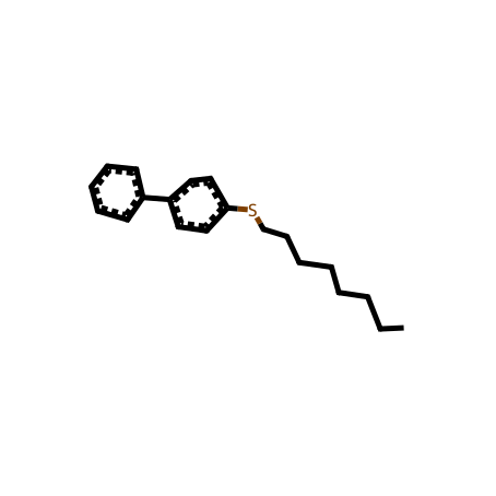 CCCCCCCCSc1ccc(-c2ccccc2)cc1